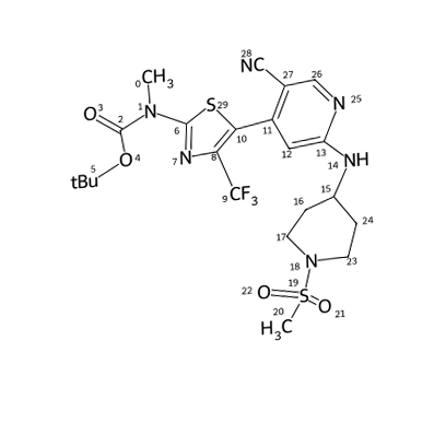 CN(C(=O)OC(C)(C)C)c1nc(C(F)(F)F)c(-c2cc(NC3CCN(S(C)(=O)=O)CC3)ncc2C#N)s1